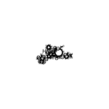 CC[C@H]1CCC[C@H](O[C@H]2CC[C@H](N(C)C)C(C)O2)[C@@H](C)C(=O)C2=C[C@H]3[C@@H]4C[C@H](O[C@@H]5OC(C)[C@H](OC)C(OC)C5OC)C[C@H]4[C@H](Nc4ccccc4)[C@@H](O)[C@H]3[C@@H]2CC(=O)O1